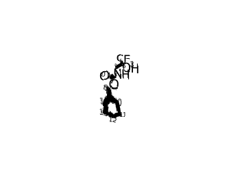 O=C(NCC(O)C(F)(F)F)OCc1ccccc1